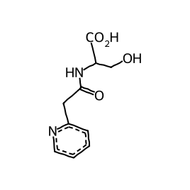 O=C(Cc1ccccn1)NC(CO)C(=O)O